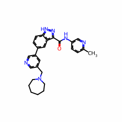 Cc1ccc(NC(=O)c2n[nH]c3ccc(-c4cncc(CN5CCCCCC5)c4)cc23)cn1